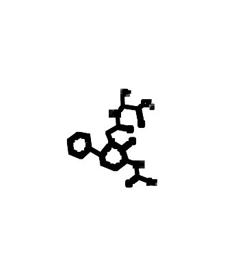 CC(=O)C(=O)Nc1ccc(-c2ccccc2)n(CC(=O)NC(C(=O)C(F)(F)F)C(C)C)c1=O